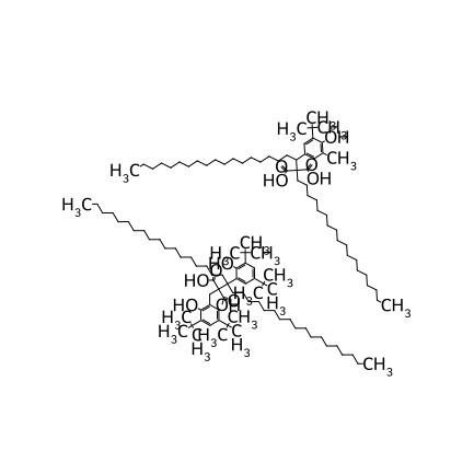 CCCCCCCCCCCCCCCCCCC(CCCCCCCCCCCCCCCCCC)(c1cc(C(C)(C)C)cc(C(C)(C)C)c1O)C(Cc1cc(C(C)(C)C)cc(C(C)(C)C)c1O)(C(=O)O)C(=O)O.CCCCCCCCCCCCCCCCCCC(c1cc(C)c(O)c(C(C)(C)C)c1)C(CCCCCCCCCCCCCCCCCC)(C(=O)O)C(=O)O